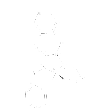 CC(=O)S[C@H]1N(Cc2ccccc2)C(=O)N(Cc2ccccc2)[C@]1(C)C(=O)O